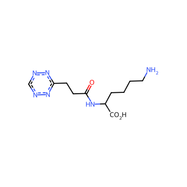 NCCCCC(NC(=O)CCc1nncnn1)C(=O)O